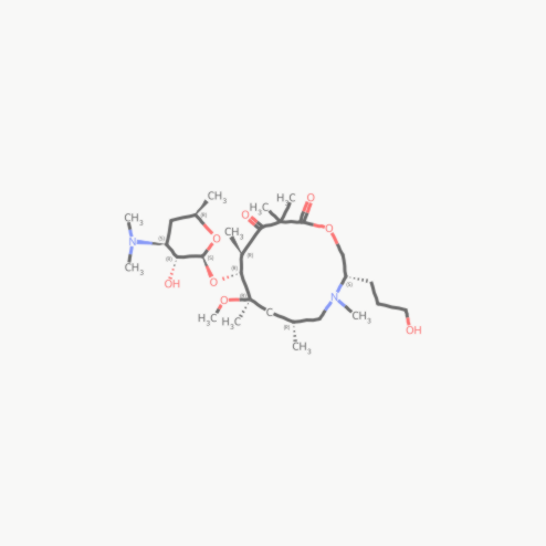 CO[C@]1(C)C[C@@H](C)CN(C)[C@@H](CCCO)COC(=O)C(C)(C)C(=O)[C@H](C)[C@H]1O[C@@H]1O[C@H](C)C[C@H](N(C)C)[C@H]1O